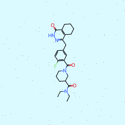 CCN(CC)C(=O)C1CCCN(C(=O)c2cc(Cc3n[nH]c(=O)c4c3CCCC4)ccc2F)C1